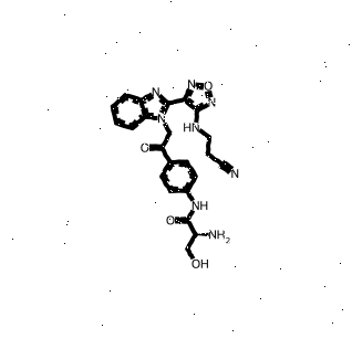 N#CCCNc1nonc1-c1nc2ccccc2n1CC(=O)c1ccc(NC(=O)[C@@H](N)CO)cc1